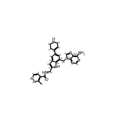 Cc1nnccc1C(=O)NCc1cc2cc(C3=CCNCC3)cc(Cn3cnc4c(N)ncnc43)c2[nH]1